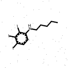 CCCCCNc1[c]cc(I)c(I)c1I